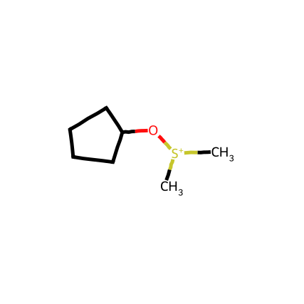 C[S+](C)OC1CCCC1